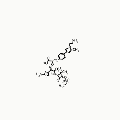 COS(=O)(=O)ON1C(=O)[C@@H](NC(=O)/C(=N\O[C@@H](COc2ccc(-c3cn(CCN)[n+](C)c3)cc2)C(=O)O)c2csc(N)n2)C1(C)C